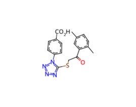 Cc1ccc(C)c(C(=O)CSc2nnnn2-c2ccc(C(=O)O)cc2)c1